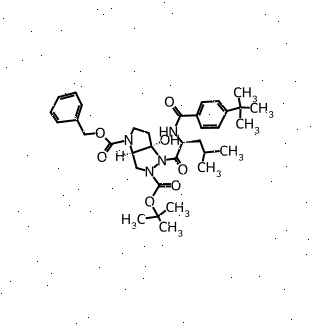 CC(C)C[C@H](NC(=O)c1ccc(C(C)(C)C)cc1)C(=O)N1N(C(=O)OC(C)(C)C)C[C@H]2N(C(=O)OCc3ccccc3)CC[C@]21O